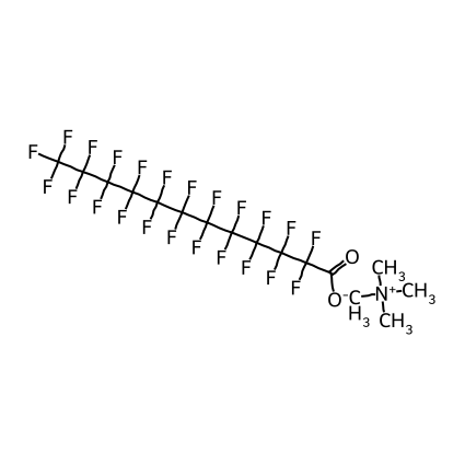 C[N+](C)(C)C.O=C([O-])C(F)(F)C(F)(F)C(F)(F)C(F)(F)C(F)(F)C(F)(F)C(F)(F)C(F)(F)C(F)(F)C(F)(F)C(F)(F)F